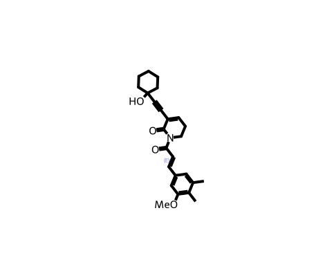 COc1cc(/C=C/C(=O)N2CCC=C(C#CC3(O)CCCCC3)C2=O)cc(C)c1C